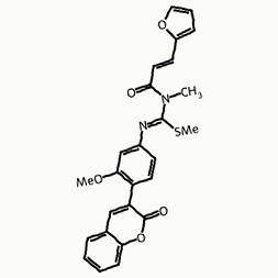 COc1cc(N=C(SC)N(C)C(=O)/C=C/c2ccco2)ccc1-c1cc2ccccc2oc1=O